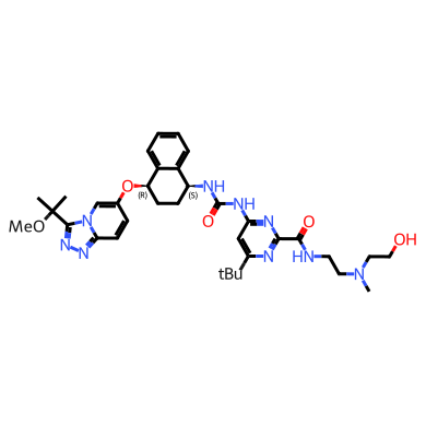 COC(C)(C)c1nnc2ccc(O[C@@H]3CC[C@H](NC(=O)Nc4cc(C(C)(C)C)nc(C(=O)NCCN(C)CCO)n4)c4ccccc43)cn12